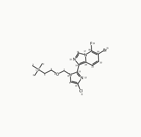 C[Si](C)(C)CCOCn1cc(Cl)nc1-c1ncn2c(F)c(Br)ccc12